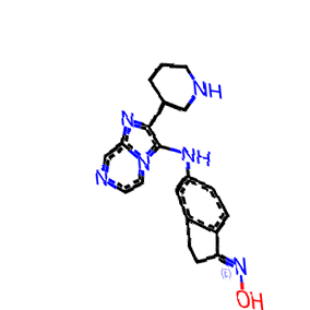 O/N=C1\CCc2cc(Nc3c(C4CCCNC4)nc4cnccn34)ccc21